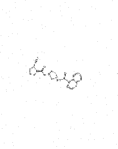 N#CC1CCCN1C(=O)CN1CCC(NC(=O)c2nccc3ccccc23)C1